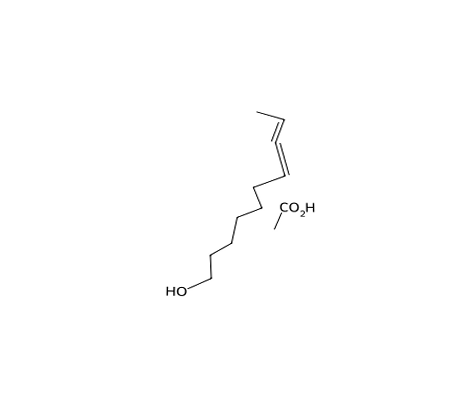 CC(=O)O.CC=C=CCCCCCCO